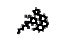 Cc1ccc(-n2c(=O)ccc3cnc4ccc(-n5cccn5)cc4c32)cc1NC(=O)/C=C/CCl